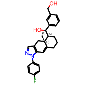 C[C@]12Cc3cnn(-c4ccc(F)cc4)c3C=C1CCC[C@@H]2[C@@H](O)c1cccc(CO)c1